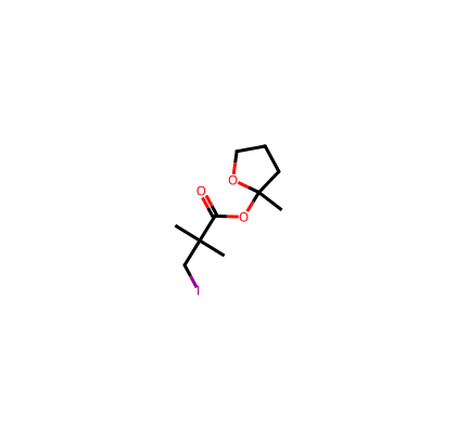 CC1(OC(=O)C(C)(C)CI)CCCO1